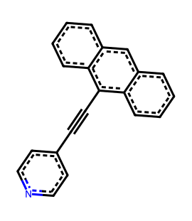 C(#Cc1c2ccccc2cc2ccccc12)c1ccncc1